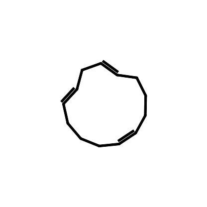 C1=C\CCC/C=C/C/C=C/CCC/1